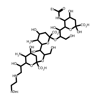 CCCCCCCCCCCCNCC(O)C1OC(OC(CO)C(O)C2OC(OC(CO)C(O)C3OC(O)(C(=O)O)CC(O)C3NC(=O)CC)(C(=O)O)CC(O)C2N)(C(=O)O)CC(O)C1N